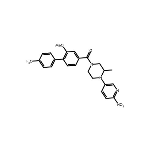 COc1cc(C(=O)N2CCN(c3ccc([N+](=O)[O-])nc3)C(C)C2)ccc1-c1ccc(C(F)(F)F)cc1